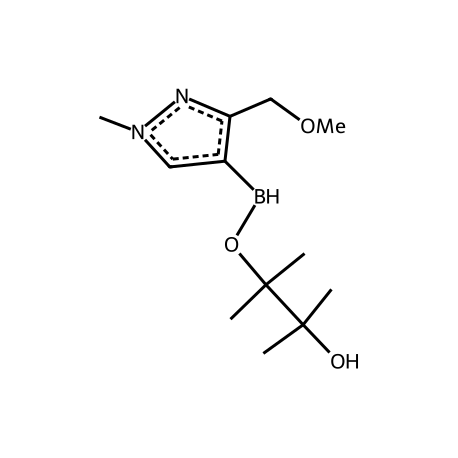 COCc1nn(C)cc1BOC(C)(C)C(C)(C)O